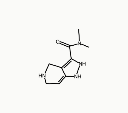 CN(C)C(=O)C1=C2CNCC=C2NN1